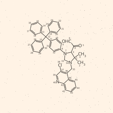 CC1(C)C(C(=O)C=O)N(c2ccc(C(c3ccccc3)(c3ccccc3)c3ccccc3)cc2)CN1Cc1c(Cl)cnc2ccccc12